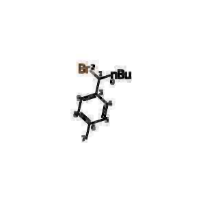 CCCCC(Br)c1ccc(C)cc1